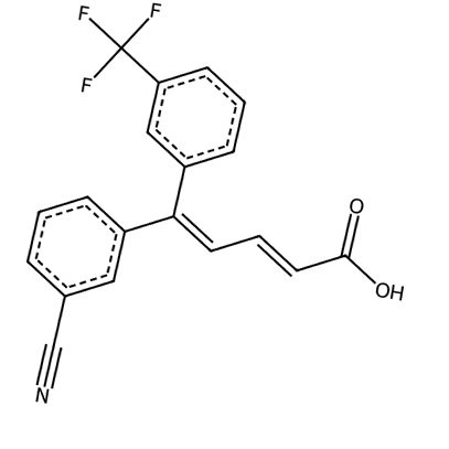 N#Cc1cccc(C(=CC=CC(=O)O)c2cccc(C(F)(F)F)c2)c1